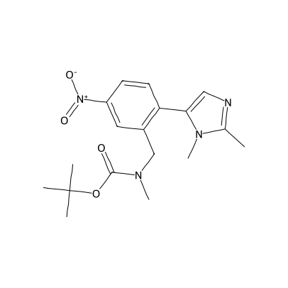 Cc1ncc(-c2ccc([N+](=O)[O-])cc2CN(C)C(=O)OC(C)(C)C)n1C